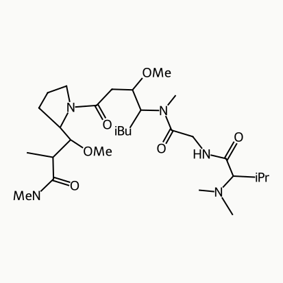 CCC(C)C(C(CC(=O)N1CCCC1C(OC)C(C)C(=O)NC)OC)N(C)C(=O)CNC(=O)C(C(C)C)N(C)C